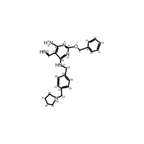 N=Cc1c(N)nc(OCc2ccccc2)nc1NCc1ccc(CN2CCCC2)cc1